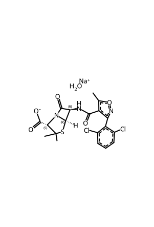 Cc1onc(-c2c(Cl)cccc2Cl)c1C(=O)N[C@@H]1C(=O)N2[C@@H]1SC(C)(C)[C@@H]2C(=O)[O-].O.[Na+]